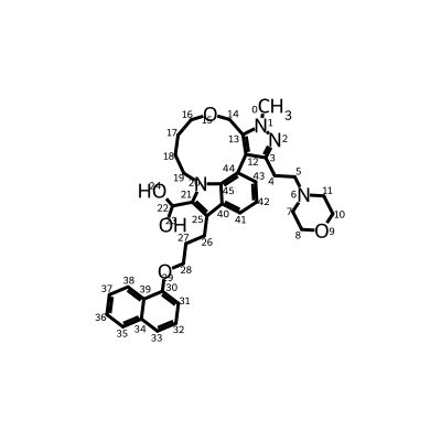 Cn1nc(CCN2CCOCC2)c2c1COCCCCn1c(C(O)O)c(CCCOc3cccc4ccccc34)c3cccc-2c31